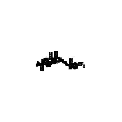 CN(CCCCc1nc2ccc(C(F)(F)F)cc2[nH]1)C[C@H]1C[C@@H](n2ccc3c(NC4CC4)ncnc32)[C@H](O)[C@@H]1O